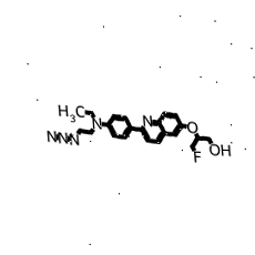 CCN(CCN=[N+]=[N-])c1ccc(-c2ccc3cc(OC(CO)CF)ccc3n2)cc1